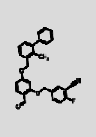 Cc1c(COc2ccc(C=O)c(OCc3ccc(F)c(C#N)c3)c2)cccc1-c1ccccc1